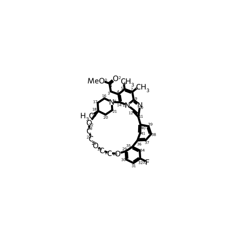 COC(=O)Cc1c(C)c(C)c2nc3cn2c1N1CCC(C)(CC1)OCCOCCOc1ccc(F)cc1-c1cccc-3c1